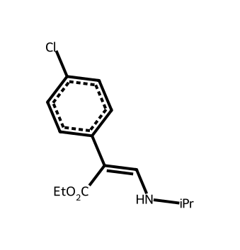 CCOC(=O)C(=CNC(C)C)c1ccc(Cl)cc1